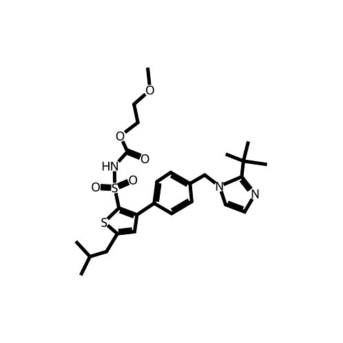 COCCOC(=O)NS(=O)(=O)c1sc(CC(C)C)cc1-c1ccc(Cn2ccnc2C(C)(C)C)cc1